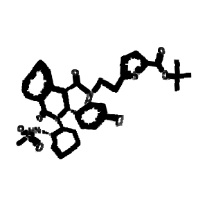 CC(C)(C)OC(=O)c1ccc(CCNC(=O)[C@@H]2c3ccccc3C(=O)N([C@H]3CCCC[C@@H]3NS(C)(=O)=O)[C@H]2c2ccc(Cl)cc2)s1